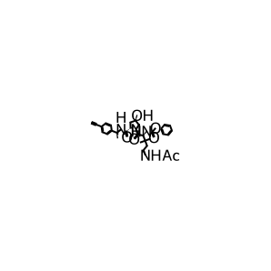 C#Cc1ccc([C@H](C)NC(=O)[C@@H]2C[C@@H](O)CN2C(=O)[C@@H](NC(=O)Oc2ccccc2)C(C)(C)CCNC(C)=O)cc1